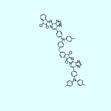 Cc1ccc(N(c2ccc(Cc3ccc4c(=O)/c(=N\c5ncc(-c6ccc(N(c7ccc(C)cc7)c7ccc(C)cc7)cc6)c6nsnc56)c(=O)c4c3)cc2)c2ccc(-c3cnc(/N=c4\c(=O)c(=O)c5ccccc45)c4nsnc34)cc2)cc1